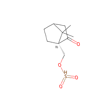 CC1(C)C2CC[C@]1(CO[SH](=O)=O)C(=O)C2